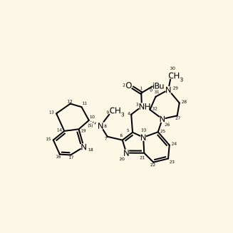 CCC(C)C(=O)NCc1c(CN(C)[C@H]2CCCc3cccnc32)nc2cccc(N3CCN(C)CC3)n12